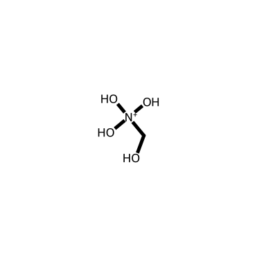 OC[N+](O)(O)O